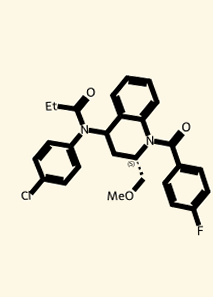 CCC(=O)N(c1ccc(Cl)cc1)C1C[C@@H](COC)N(C(=O)c2ccc(F)cc2)c2ccccc21